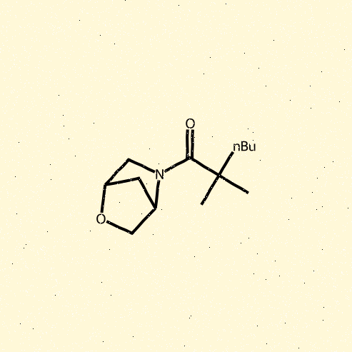 CCCCC(C)(C)C(=O)N1CC2CC1CO2